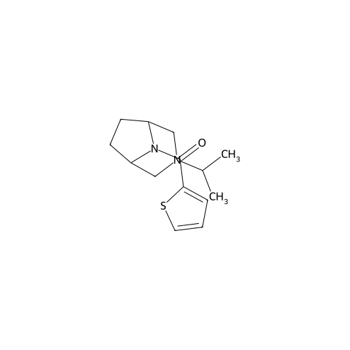 CC(C)N1CC2CCC(C1)N2C(=O)c1cccs1